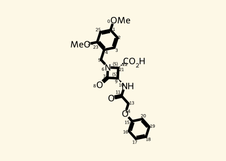 COc1ccc(CN2C(=O)[C@@H](NC(=O)COc3ccccc3)[C@H]2C(=O)O)c(OC)c1